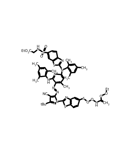 C=C(NOOSc1ccc2sc(-n3nc(C(C)(C)C)c(C#N)c3/N=N/c3c(C)cc(N(c4nc5ccc(S(=O)(=O)NCC(=O)OCC)cc5s4)c4c(C)cc(C)cc4C)nc3Nc3c(C)cc(C)cc3C)nc2c1)OOCC